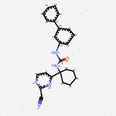 N#Cc1nccc(C2(NC(=O)Nc3cccc(-c4ccccc4)c3)CCCCC2)n1